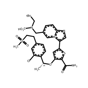 C[C@@H](Oc1cc(-c2cnc3ccc(CN(CC(C)(C)C)C(=O)O)cn23)sc1C(N)=O)c1ccc(CCS(C)(=O)=O)cc1Cl